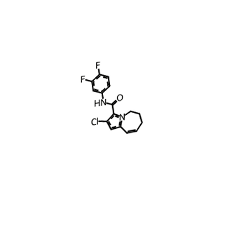 O=C(Nc1ccc(F)c(F)c1)c1c(Cl)cc2n1CCCC=C2